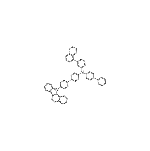 c1ccc(-c2ccc(N(c3ccc(-c4ccc(-n5c6ccccc6c6ccc7ccccc7c65)cc4)cc3)c3cccc(-c4cccc5ccccc45)c3)cc2)cc1